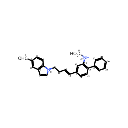 O=Cc1ccc2c(ccn2CCC=Cc2ccc(-c3ccccc3)c(NC(=O)O)c2)c1